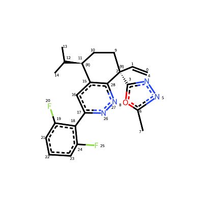 C=C[C@]1(c2nnc(C)o2)CC[C@H](C(C)C)c2cc(-c3c(F)cccc3F)nnc21